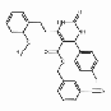 COc1ccccc1CCC1=C(C(=O)OCc2cccc(C#N)c2)C(c2ccc(F)cc2)NC(=O)N1